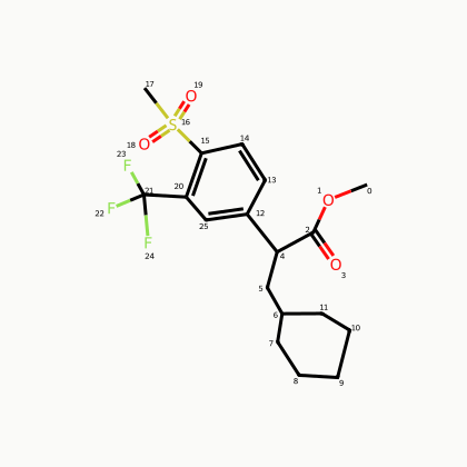 COC(=O)C(CC1CCCCC1)c1ccc(S(C)(=O)=O)c(C(F)(F)F)c1